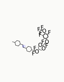 CC1CCC(/C=C/C2CCC(C(F)(F)OC3COC(C(F)(F)Oc4cc(F)c(OC(F)(F)F)c(F)c4)OC3)CC2)CC1